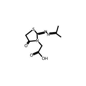 CC(C)=N/N=C1/SCC(=O)N1CC(=O)O